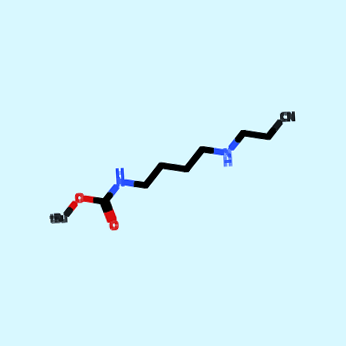 CC(C)(C)OC(=O)NCCCCNCCC#N